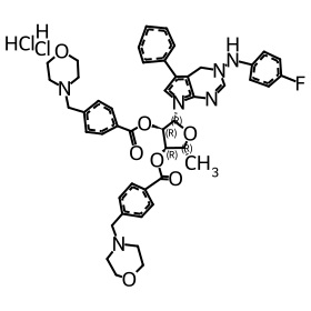 C[C@H]1O[C@@H](n2cc(-c3ccccc3)c3c2N=CN(Nc2ccc(F)cc2)C3)[C@H](OC(=O)c2ccc(CN3CCOCC3)cc2)[C@@H]1OC(=O)c1ccc(CN2CCOCC2)cc1.Cl.Cl